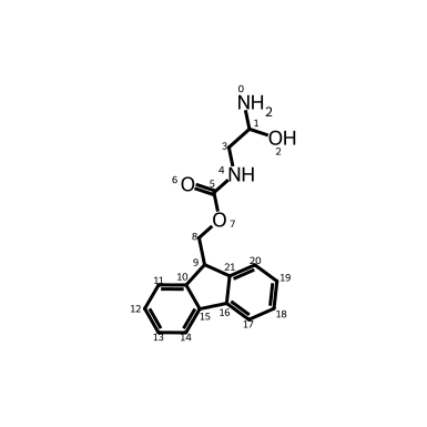 NC(O)CNC(=O)OCC1c2ccccc2-c2ccccc21